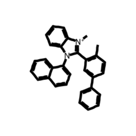 Cc1ccc(-c2ccccc2)cc1-c1n(-c2cccc3ccccc23)c2ccccc2[n+]1C